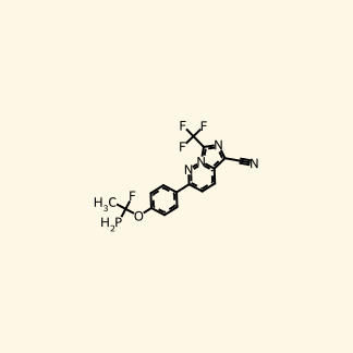 CC(F)(P)Oc1ccc(-c2ccc3c(C#N)nc(C(F)(F)F)n3n2)cc1